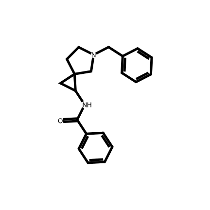 O=C(NC1CC12CCN(Cc1ccccc1)C2)c1ccccc1